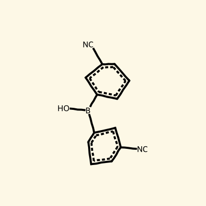 [C-]#[N+]c1cccc(B(O)c2cccc(C#N)c2)c1